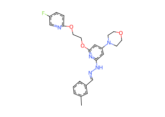 Cc1cccc(/C=N/Nc2cc(N3CCOCC3)cc(OCCOc3ccc(F)cn3)n2)c1